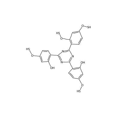 Oc1cc(OS)ccc1-c1nc(-c2ccc(OS)cc2O)nc(-c2ccc(OS)cc2OS)n1